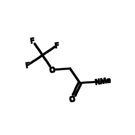 [CH2]NC(=O)COC(F)(F)F